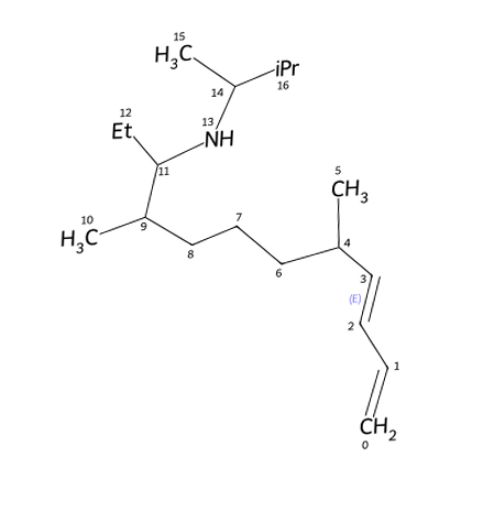 C=C/C=C/C(C)CCCC(C)C(CC)NC(C)C(C)C